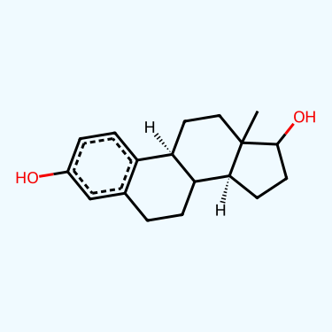 CC12CC[C@@H]3c4ccc(O)cc4CCC3[C@@H]1CCC2O